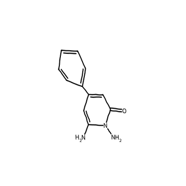 Nc1cc(-c2ccccc2)cc(=O)n1N